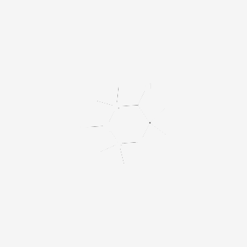 CC1(C)O[Si](C)(C)[SiH](Cl)[Si](C)(C)C1Cl